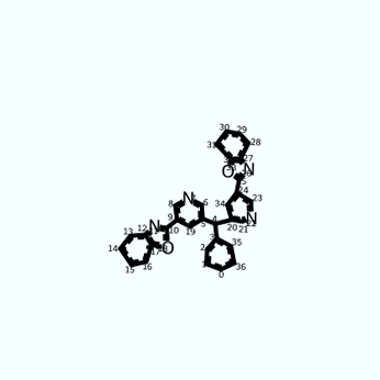 c1ccc(C(c2cncc(-c3nc4ccccc4o3)c2)c2cncc(-c3nc4ccccc4o3)c2)cc1